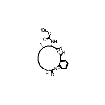 C[C@H]1CCCCCNC(=O)Nc2ccccc2-c2nnc(o2)[C@@H](NC(=O)OC(C)(C)C)C1